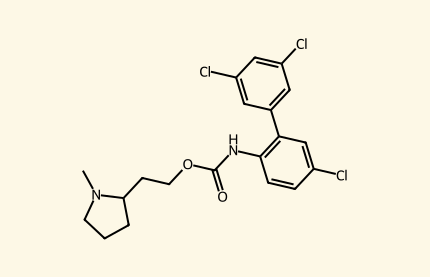 CN1CCCC1CCOC(=O)Nc1ccc(Cl)cc1-c1cc(Cl)cc(Cl)c1